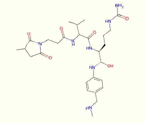 CNCc1ccc(NC(O)[C@H](CCCNC(N)=O)NC(=O)C(NC(=O)CCN2C(=O)CC(C)C2=O)C(C)C)cc1